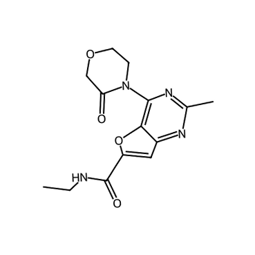 CCNC(=O)c1cc2nc(C)nc(N3CCOCC3=O)c2o1